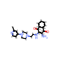 Cc1cc(N2CCN(CCNC3=C(N)C(=O)c4ccccc4C3=O)CC2)ccn1